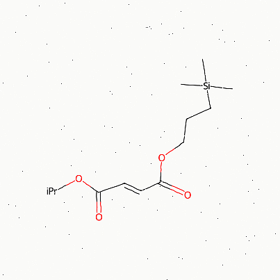 CC(C)OC(=O)C=CC(=O)OCCC[Si](C)(C)C